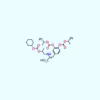 CC(CN[C@@H](Cc1ccc(OC(=O)OC(C)C(C)C)c(OC(=O)OC(C)C(C)C)c1)C(=O)O)OC(=O)OC1CCCCC1